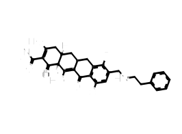 NC(=O)C1=C(O)C[C@@H]2CC3Cc4c(F)c(CNCCc5ccccc5)cc(O)c4C(=O)C3=C(O)[C@]2(O)C1=O